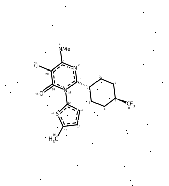 CNc1nc([C@H]2CC[C@H](C(F)(F)F)CC2)n(-c2ccc(C)s2)c(=O)c1Cl